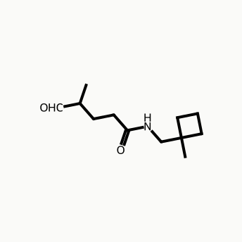 CC(C=O)CCC(=O)NCC1(C)CCC1